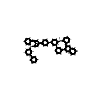 C1=C(c2ccc(-c3ccc4c(c3)-c3cccc(c3)-c3cc5ccccc5cc3-c3ccccc3N4)cc2)C=C2CC1N(c1cccc(-c3ccccc3)c1)c1ccccc12